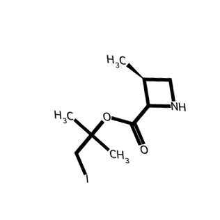 C[C@H]1CNC1C(=O)OC(C)(C)CI